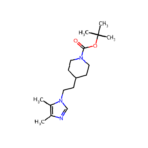 Cc1ncn(CCC2CCN(C(=O)OC(C)(C)C)CC2)c1C